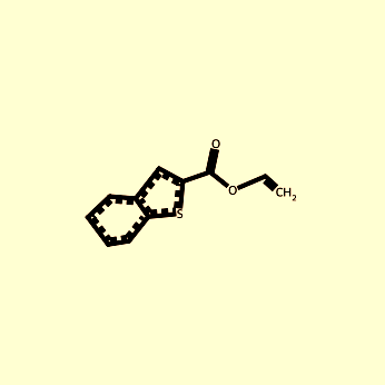 C=COC(=O)c1cc2ccccc2s1